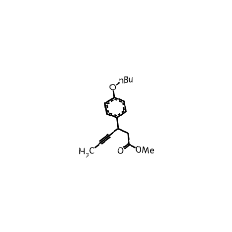 CC#CC(CC(=O)OC)c1ccc(OCCCC)cc1